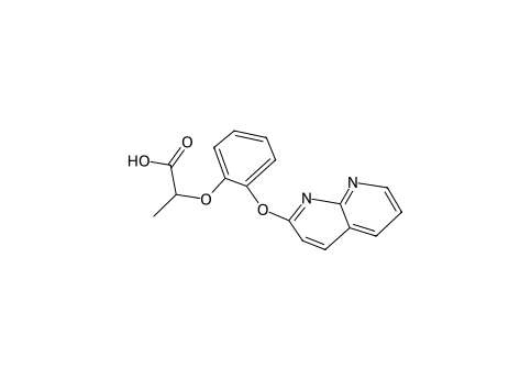 CC(Oc1ccccc1Oc1ccc2cccnc2n1)C(=O)O